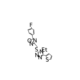 CCn1c(SCc2noc(-c3ccc(F)cc3)n2)nnc1-c1cccs1